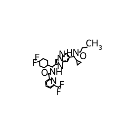 CCCC(=O)N[C@@H](c1cnn2cc([C@@H](NC(=O)c3cccc(C(F)F)n3)C3CCC(F)(F)CC3)nc2c1)C1CC1